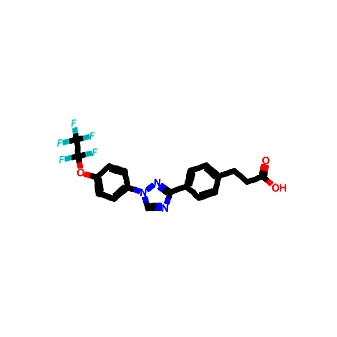 O=C(O)CCc1ccc(-c2ncn(-c3ccc(OC(F)(F)C(F)(F)F)cc3)n2)cc1